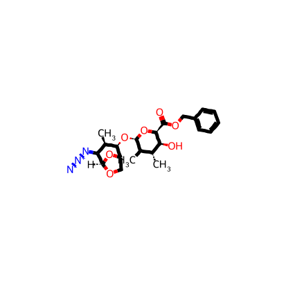 CC1[C@H](O[C@@H]2C3CO[C@H](O3)C(N=[N+]=[N-])[C@H]2C)O[C@@H](C(=O)OCc2ccccc2)[C@@H](O)[C@@H]1C